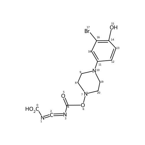 O=C(O)N=C=NC(=O)ON1CCN(c2ccc(O)c(Br)c2)CC1